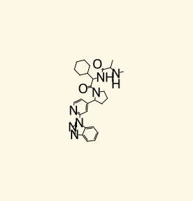 CNC(C)C(=O)NC(C(=O)N1CCCC1c1ccnc(-n2nnc3ccccc32)c1)C1CCCCC1